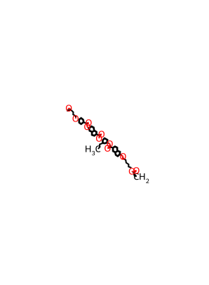 C=CC(=O)OCCCCCCOc1ccc2cc(C(=O)Oc3ccc(OC(=O)c4ccc5cc(OC(=O)c6ccc(OCCCC7CO7)cc6)ccc5c4)c(CCC)c3)ccc2c1